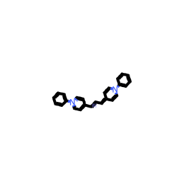 C1=CN(c2ccccc2)C=CC1=C/C=C/c1cc[n+](-c2ccccc2)cc1